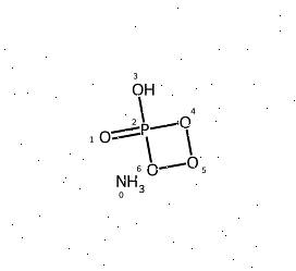 N.O=P1(O)OOO1